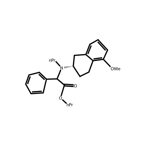 CCCOC(=O)C(c1ccccc1)N(CCC)[C@H]1CCc2c(cccc2OC)C1